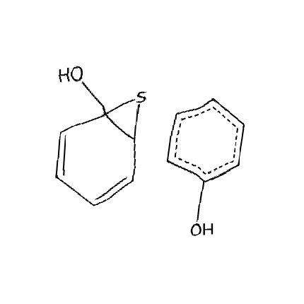 OC12C=CC=CC1S2.Oc1ccccc1